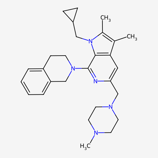 Cc1c(C)n(CC2CC2)c2c(N3CCc4ccccc4C3)nc(CN3CCN(C)CC3)cc12